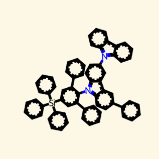 c1ccc(-c2ccc3c(c2)c2cc(-n4c5ccccc5c5ccccc54)ccc2n3-c2c(-c3ccccc3)cc([Si](c3ccccc3)(c3ccccc3)c3ccccc3)cc2-c2ccccc2)cc1